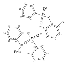 Cc1ccccc1CS(=O)(=O)c1ccccc1.O=S(=O)(Cc1ccccc1CBr)c1ccccc1